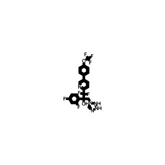 OC(CN1C=NNN1)(c1ccc(F)cc1F)C(F)(F)c1ccc(-c2ccc(OC(F)(F)F)cc2)cn1